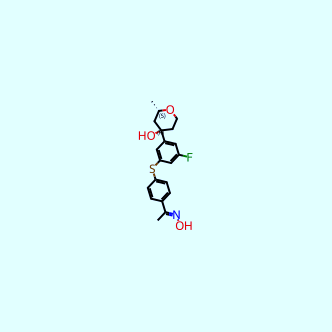 CC(=NO)c1ccc(Sc2cc(F)cc([C@@]3(O)CCO[C@@H](C)C3)c2)cc1